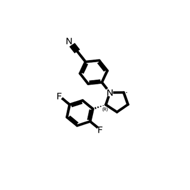 N#Cc1ccc(N2[CH]CC[C@@H]2c2cc(F)ccc2F)cc1